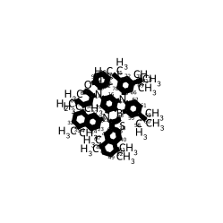 C=C/C=C\C1=C(C)Oc2ccccc2N1c1cc2c3c(c1)N(c1ccc4c(c1)C(C)(C)CCC4(C)C)c1c(sc4cc5c(cc14)C(C)(C)CCC5(C)C)B3c1cc(C(C)(C)C)ccc1N2c1cc(C(C)(C)C)cc(C(C)(C)C)c1